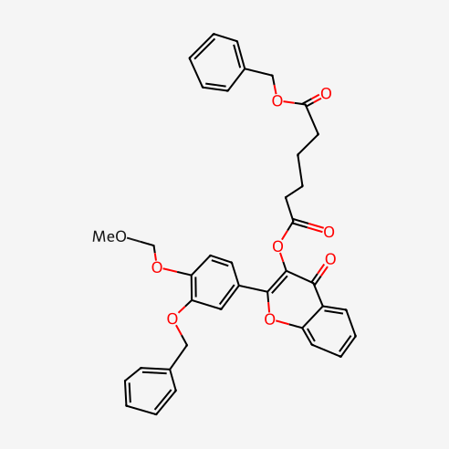 COCOc1ccc(-c2oc3ccccc3c(=O)c2OC(=O)CCCCC(=O)OCc2ccccc2)cc1OCc1ccccc1